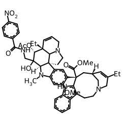 CCC1=C[C@@H]2CN(CCc3c([nH]c4ccccc34)[C@@](C(=O)OC)(c3cc4c(cc3OC)N(C)[C@H]3C(O)(CNC(=O)c5ccc([N+](=O)[O-])cc5)[C@H](OC(C)=O)[C@]5(CC)C=CCN6CC[C@]43C65)C2)C1